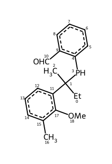 CCC(C)(Pc1ccccc1C=O)c1cccc(C)c1OC